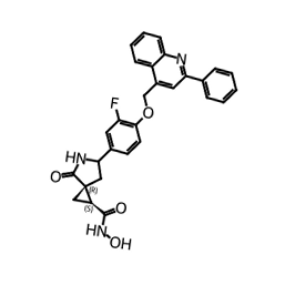 O=C(NO)[C@H]1C[C@@]12CC(c1ccc(OCc3cc(-c4ccccc4)nc4ccccc34)c(F)c1)NC2=O